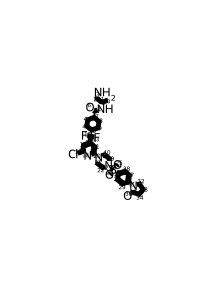 CC(CN)NC(=O)[C@H]1CC[C@H](C(F)(F)c2cc(Cl)nc(N3CCN(S(=O)(=O)c4ccc(N5CCCC5=O)cc4)CC3)c2)CC1